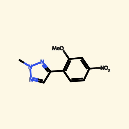 COc1cc([N+](=O)[O-])ccc1-c1cnn(C)n1